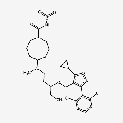 CCC(CCN(C)C1CCCC(C(=O)N[SH](=O)=O)CCC1)OCc1c(-c2c(Cl)cccc2Cl)noc1C1CC1